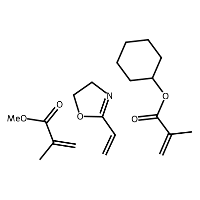 C=C(C)C(=O)OC.C=C(C)C(=O)OC1CCCCC1.C=CC1=NCCO1